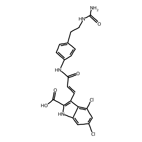 NC(=O)NCCc1ccc(NC(=O)C=Cc2c(C(=O)O)[nH]c3cc(Cl)cc(Cl)c23)cc1